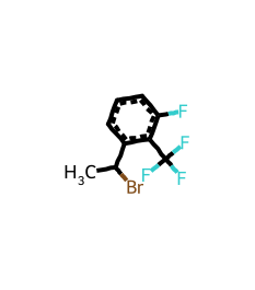 CC(Br)c1cccc(F)c1C(F)(F)F